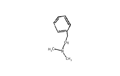 C[N](C)[Dy][CH2]c1ccccc1